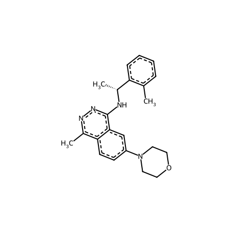 Cc1ccccc1[C@@H](C)Nc1nnc(C)c2ccc(N3CCOCC3)cc12